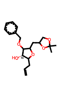 C=CCC1OC(CC2COC(C)(C)O2)C(OCc2ccccc2)[C@H]1O